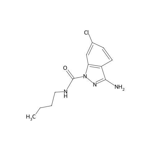 CCCCNC(=O)n1nc(N)c2ccc(Cl)cc21